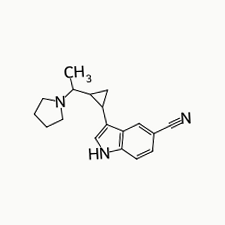 CC(C1CC1c1c[nH]c2ccc(C#N)cc12)N1CCCC1